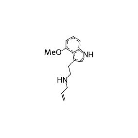 C=CCNCCc1c[nH]c2cccc(OC)c12